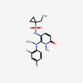 Cn1c(N(C(=O)O)c2ccc(I)cc2F)c(NS(=O)(=O)C2(CC=O)CC2)ccc1=O